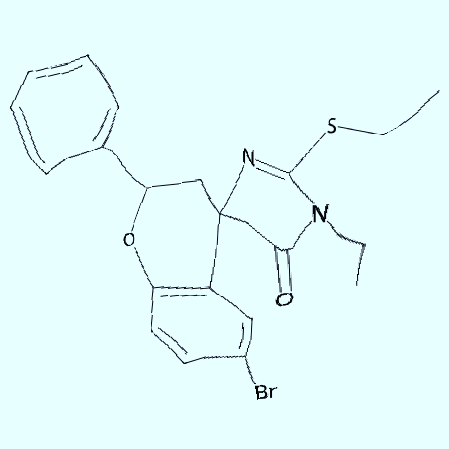 CCSC1=NC2(CC(c3ccccc3)Oc3ccc(Br)cc32)C(=O)N1CC